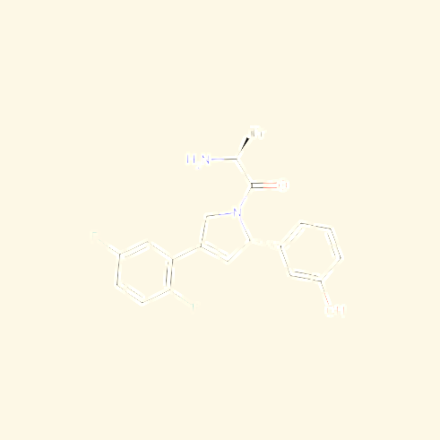 CC(C)[C@H](N)C(=O)N1CC(c2cc(F)ccc2F)=C[C@H]1c1cccc(O)c1